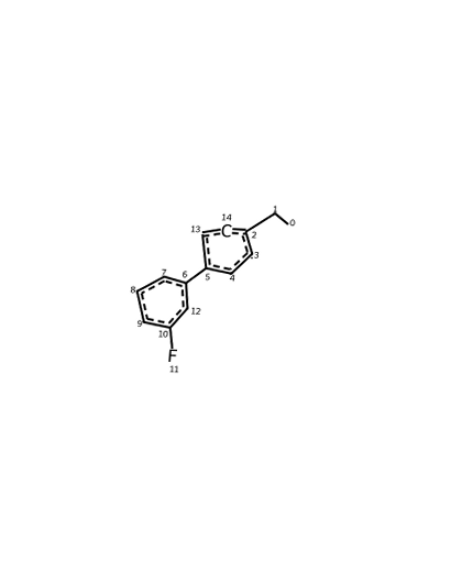 CCc1[c]cc(-c2cccc(F)c2)cc1